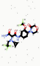 NC(=O)[C@@H](C(=O)Nc1ccc(N2CCOCC2=O)c(OC(F)F)c1)N(CC(F)(F)F)C1CC1